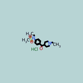 CCN1CCC(C(=O)c2ccc(N(CC)S(C)(=O)=O)cc2)CC1.Cl